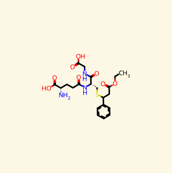 CCOC(=O)CC(SC[C@H](NC(=O)CC[C@H](N)C(=O)O)C(=O)NCC(=O)O)c1ccccc1